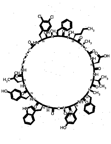 CCCC[C@H]1C(=O)N(C)CC(=O)N[C@@H](CC(=O)O)C(=O)N[C@@H](C(C)C)C(=O)N(C)[C@@H](Cc2ccccc2)C(=O)N[C@@H](Cc2ccc(O)cc2)C(=O)N(C)CC(=O)N[C@@H](Cc2c[nH]c3ccccc23)C(=O)N[C@@H](Cc2ccc(O)cc2)C(=O)N[C@@H](CC(C)C)C(=O)NCCSCC(=O)N[C@@H](Cc2ccc(Cl)c(Cl)c2)C(O)N(C)C(Cc2ccccc2)C(=O)N1C